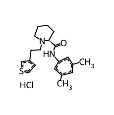 Cc1cc(C)cc(NC(=O)[C@@H]2CCCCN2CCc2ccsc2)c1.Cl